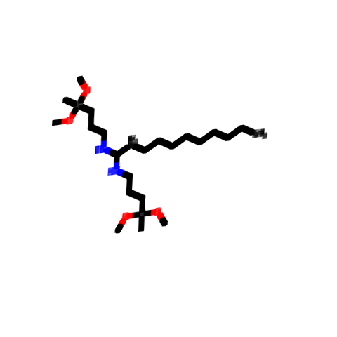 CO[Si](C)(CCCNC(NCCC[Si](C)(OC)OC)[SiH2]CCCCCCCC[SiH3])OC